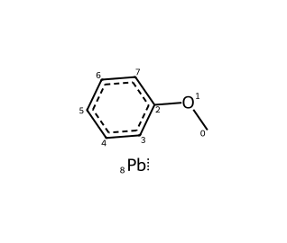 COc1ccccc1.[Pb]